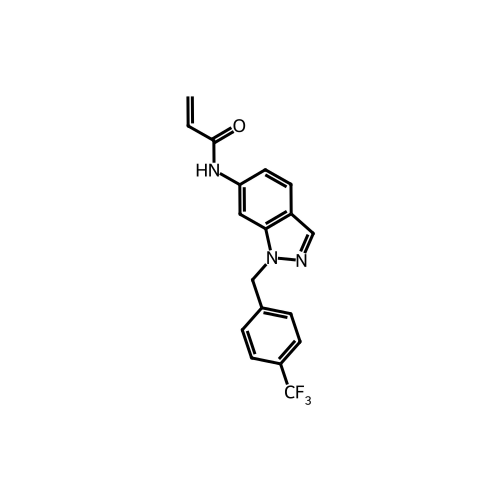 C=CC(=O)Nc1ccc2cnn(Cc3ccc(C(F)(F)F)cc3)c2c1